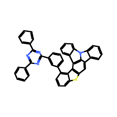 c1ccc(-c2nc(-c3ccccc3)nc(-c3cccc(-c4cccc5sc6cc7c8ccccc8n8c9ccccc9c(c6c45)c78)c3)n2)cc1